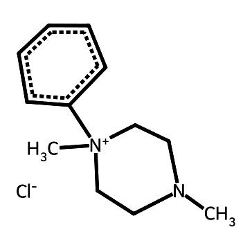 CN1CC[N+](C)(c2ccccc2)CC1.[Cl-]